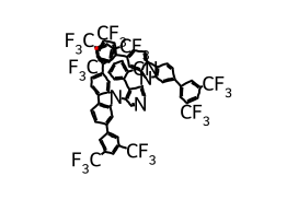 N#Cc1ccccc1-c1c(-n2c3cc(-c4cc(C(F)(F)F)cc(C(F)(F)F)c4)ccc3c3ccc(-c4cc(C(F)(F)F)cc(C(F)(F)F)c4)cc32)cncc1-n1c2cc(-c3cc(C(F)(F)F)cc(C(F)(F)F)c3)ccc2c2ccc(-c3cc(C(F)(F)F)cc(C(F)(F)F)c3)cc21